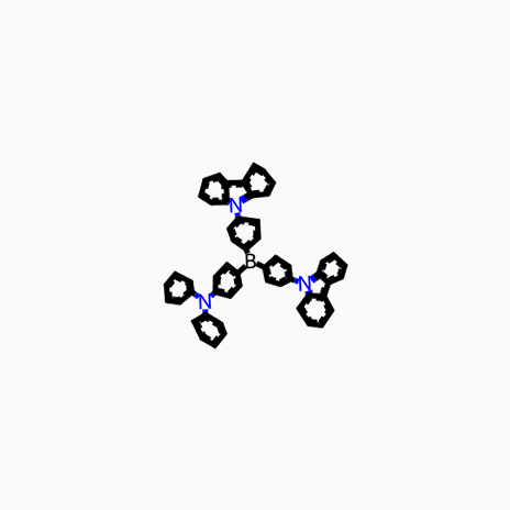 c1ccc(N(c2ccccc2)c2ccc(B(c3ccc(-n4c5ccccc5c5ccccc54)cc3)c3ccc(-n4c5ccccc5c5ccccc54)cc3)cc2)cc1